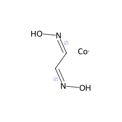 O/N=C\C=N/O.[Co]